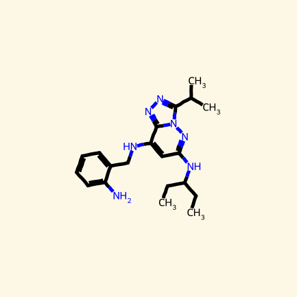 CCC(CC)Nc1cc(NCc2ccccc2N)c2nnc(C(C)C)n2n1